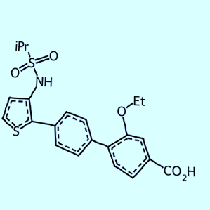 CCOc1cc(C(=O)O)ccc1-c1ccc(-c2sccc2NS(=O)(=O)C(C)C)cc1